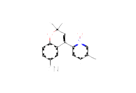 Cc1ccc(C2=CC(C)(C)Oc3ccc(C#N)cc32)[n+]([O-])c1